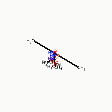 CCCCCCCCCCCCCCCCNC(=O)C(CSSCCCCCCCCCCCCCCCC)NC(=O)C(CCC(=O)OC(C)(C)C)NC(=O)OC(C)(C)C